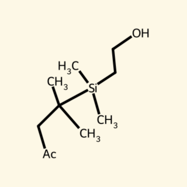 CC(=O)CC(C)(C)[Si](C)(C)CCO